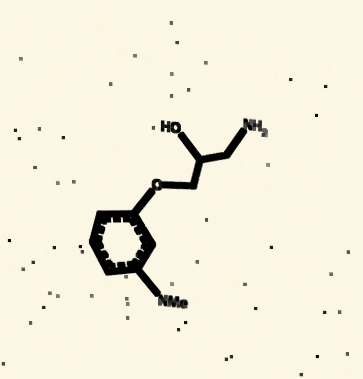 CNc1cccc(OCC(O)CN)c1